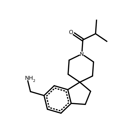 CC(C)C(=O)N1CCC2(CCc3ccc(CN)cc32)CC1